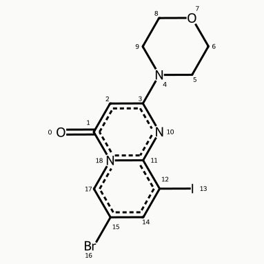 O=c1cc(N2CCOCC2)nc2c(I)cc(Br)cn12